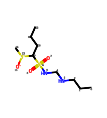 CCCN[CH]NS(=O)(=O)C(CCC)[S+](C)[O-]